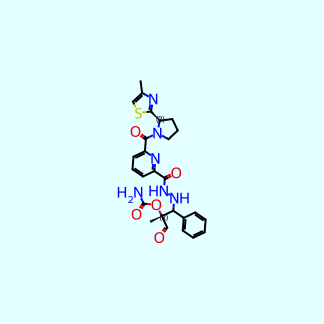 Cc1csc([C@H]2CCCN2C(=O)c2cccc(C(=O)NNC(c3ccccc3)[C@](C)(C=O)OC(N)=O)n2)n1